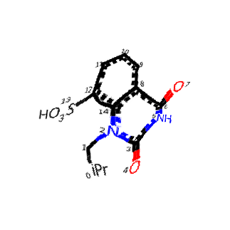 CC(C)Cn1c(=O)[nH]c(=O)c2cccc(S(=O)(=O)O)c21